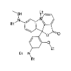 CBN(CC)c1ccc(C2(c3ccc(N(CC)CC)cc3OCC)OC(=O)c3cccnc32)c(OCC)c1